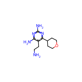 NCCc1c(N)nc(N)nc1C1CCOCC1